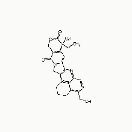 CC[C@@]1(O)C(=O)OCc2c1cc1n(c2=O)Cc2c-1nc1ccc(CO)c3c1c2CCC3